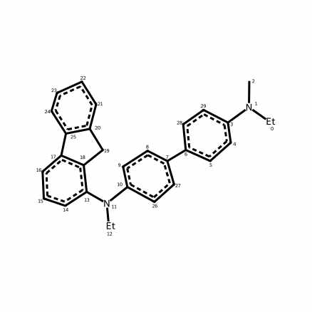 CCN(C)c1ccc(-c2ccc(N(CC)c3cccc4c3Cc3ccccc3-4)cc2)cc1